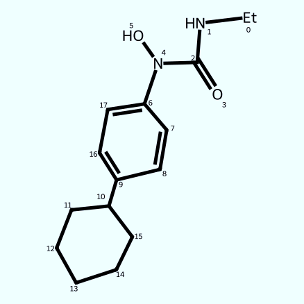 CCNC(=O)N(O)c1ccc(C2CCCCC2)cc1